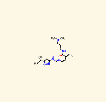 C=C(/C=C\N=C\Nc1cc(C(C)C)[nH]n1)C(=O)NCCCN(C)C